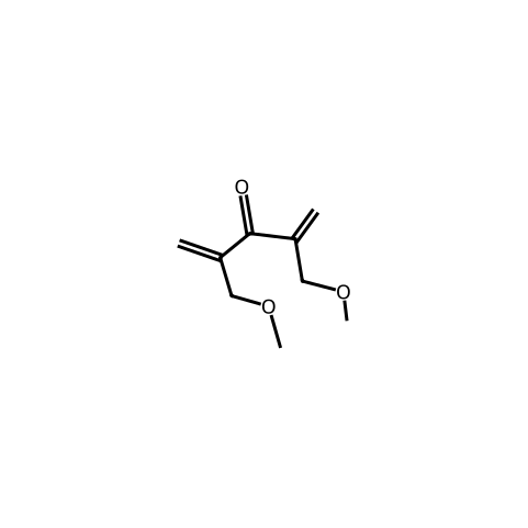 C=C(COC)C(=O)C(=C)COC